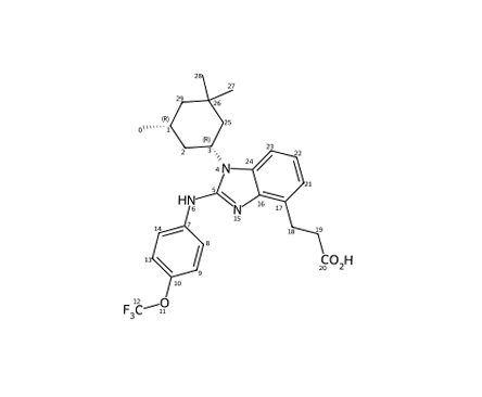 C[C@H]1C[C@@H](n2c(Nc3ccc(OC(F)(F)F)cc3)nc3c(CCC(=O)O)cccc32)CC(C)(C)C1